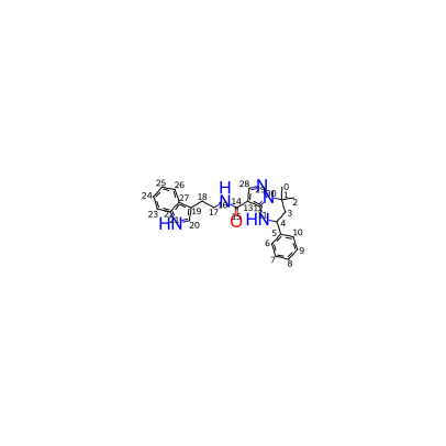 CC1(C)CC(c2ccccc2)Nc2c(C(=O)NCCc3c[nH]c4ccccc34)cnn21